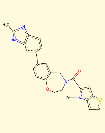 Cc1nc2ccc(-c3ccc4c(c3)CN(C(=O)c3cc5sccc5n3C(C)C)CCO4)cc2[nH]1